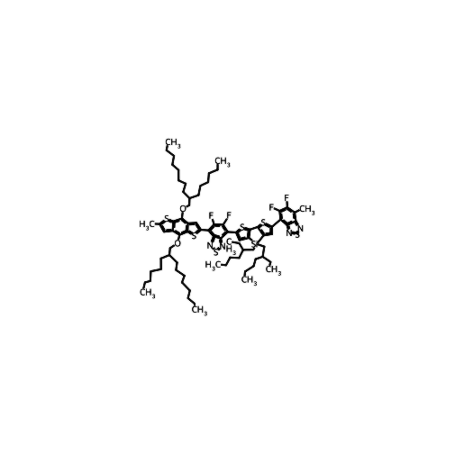 CCCCCCCCC(CCCCCC)COc1c2cc(-c3c(F)c(F)c(-c4cc5c(s4)-c4sc(-c6c(F)c(F)c(C)c7nsnc67)cc4[Si]5(CC(CC)CCCC)CC(CC)CCCC)c4nsnc34)sc2c(OCC(CCCCCC)CCCCCCCC)c2cc(C)sc12